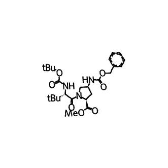 COC(=O)[C@@H]1C[C@H](NC(=O)OCc2ccccc2)CN1C(=O)[C@@H](NC(=O)OC(C)(C)C)C(C)(C)C